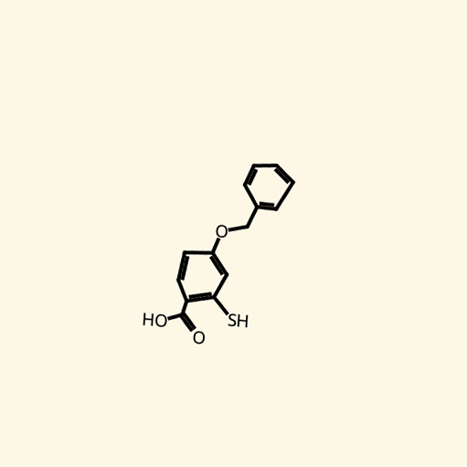 O=C(O)c1ccc(OCc2ccccc2)cc1S